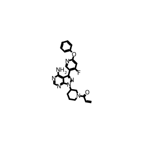 C=CC(=O)N1CCCC(n2nc(-c3cnc(Oc4ccccc4)cc3F)c3c(N)ncnc32)C1